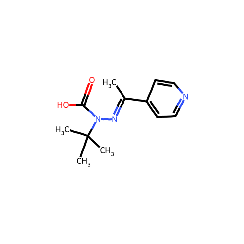 CC(=NN(C(=O)O)C(C)(C)C)c1ccncc1